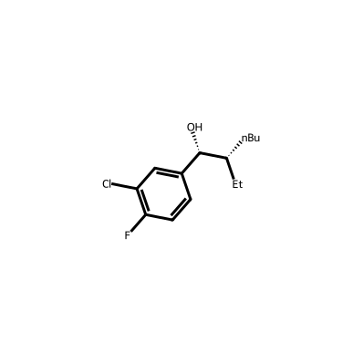 CCCC[C@H](CC)[C@@H](O)c1ccc(F)c(Cl)c1